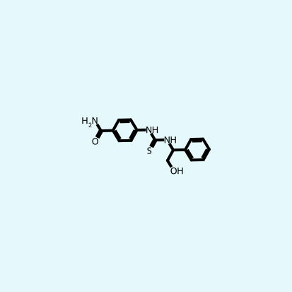 NC(=O)c1ccc(NC(=S)NC(CO)c2ccccc2)cc1